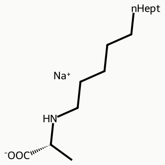 CCCCCCCCCCCCN[C@H](C)C(=O)[O-].[Na+]